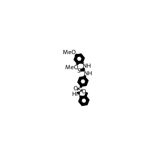 COc1ccc(NC(=S)Nc2ccc(S(=O)(=O)Nc3ccccc3C)cc2)c(OC)c1